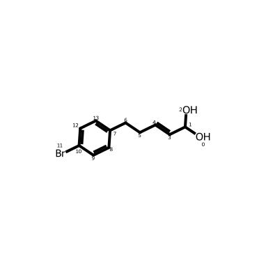 OC(O)C=CCCc1ccc(Br)cc1